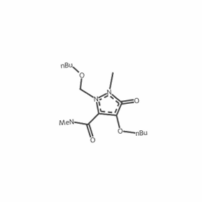 CCCCOCn1c(C(=O)NC)c(OCCCC)c(=O)n1C